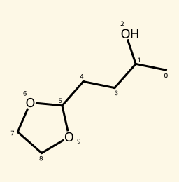 CC(O)CCC1OCCO1